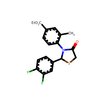 CCOC(=O)c1ccc(N2C(=O)CSC2c2ccc(F)c(F)c2)c(C)c1